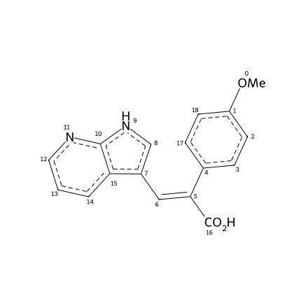 COc1ccc(C(=Cc2c[nH]c3ncccc23)C(=O)O)cc1